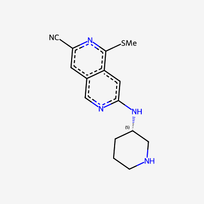 CSc1nc(C#N)cc2cnc(N[C@H]3CCCNC3)cc12